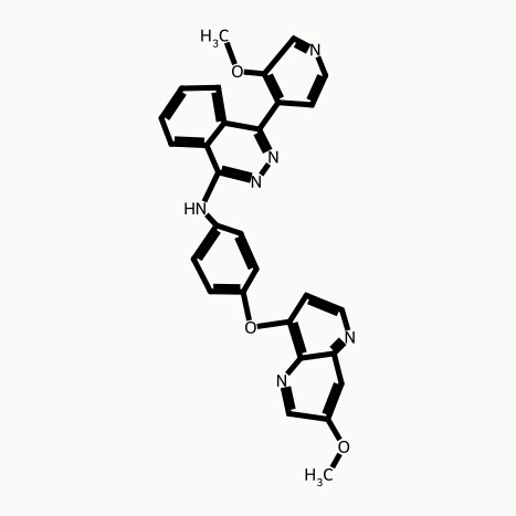 COc1cnc2c(Oc3ccc(Nc4nnc(-c5ccncc5OC)c5ccccc45)cc3)ccnc2c1